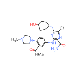 CCc1nc(C(N)=O)c(Nc2ccc(N3CCN(C)CC3)c(C(=O)NC)c2)nc1N[C@H]1CC[C@H](O)CC1